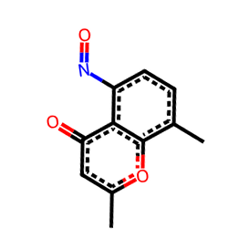 Cc1cc(=O)c2c(N=O)ccc(C)c2o1